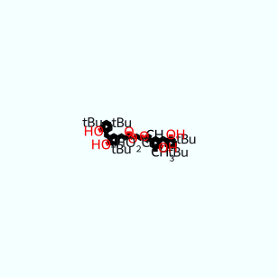 Cc1cc(C(C)(OCCOC(=O)CCc2cc(Cc3cc(C(C)(C)C)cc(C(C)(C)C)c3O)c(O)c(C(C)(C)C)c2)C(=O)O)cc(Cc2cc(C(C)(C)C)cc(C(C)(C)C)c2O)c1O